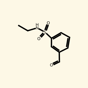 CCNS(=O)(=O)c1cccc(C=O)c1